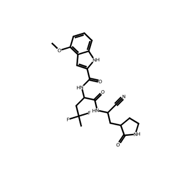 COc1cccc2[nH]c(C(=O)NC(CC(C)(F)F)C(=O)NC(C#N)CC3CCNC3=O)cc12